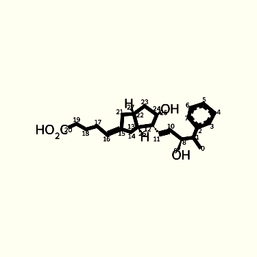 CC(c1ccccc1)[C@@H](O)/C=C/[C@@H]1[C@H]2C/C(=C/CCCC(=O)O)C[C@@H]2C[C@H]1O